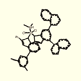 CC1=Cc2c(-c3cccc4ccccc34)cc(-c3cccc4ccccc34)cc2[CH]1[Zr]([Cl])([Cl])([CH]1C(C(C)C)=Cc2c(-c3cc(C)cc(C)c3)cccc21)[SiH](C)C